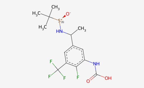 CC(N[S@+]([O-])C(C)(C)C)c1cc(NC(=O)O)c(F)c(C(F)(F)F)c1